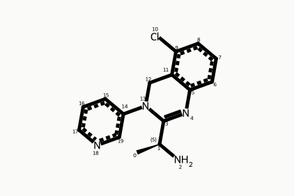 C[C@H](N)C1=Nc2cccc(Cl)c2CN1c1cccnc1